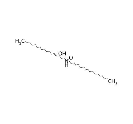 CCCCCCCCCCCCC/C=C/C(O)CCNC(=O)CCCCCCCCCCCCCCCCC